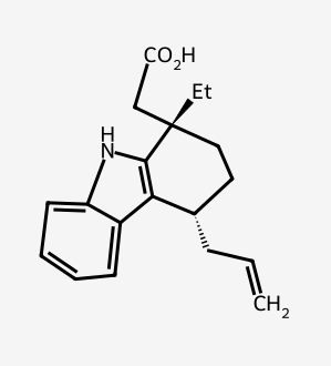 C=CC[C@H]1CC[C@@](CC)(CC(=O)O)c2[nH]c3ccccc3c21